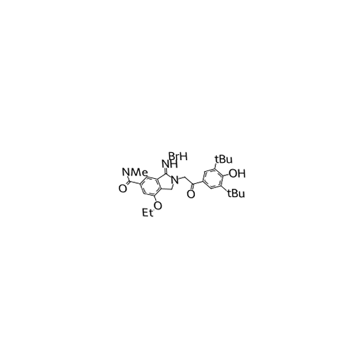 Br.CCOc1cc(C(=O)NC)cc2c1CN(CC(=O)c1cc(C(C)(C)C)c(O)c(C(C)(C)C)c1)C2=N